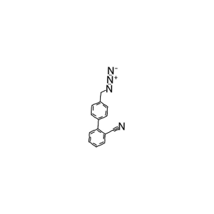 N#Cc1ccccc1-c1ccc(CN=[N+]=[N-])cc1